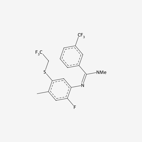 CN/C(=N/c1cc(SCC(F)(F)F)c(C)cc1F)c1cccc(C(F)(F)F)c1